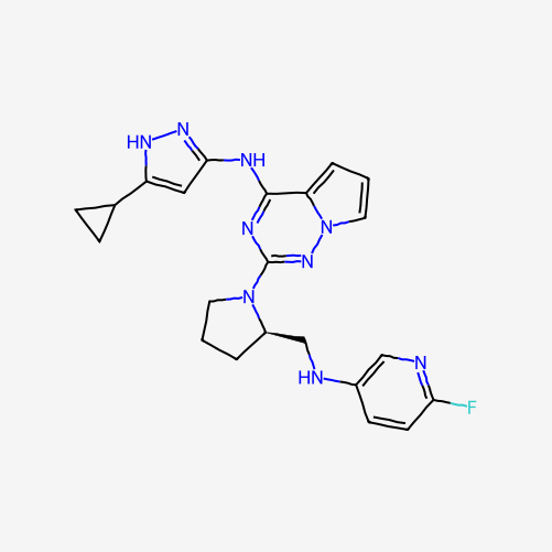 Fc1ccc(NC[C@H]2CCCN2c2nc(Nc3cc(C4CC4)[nH]n3)c3cccn3n2)cn1